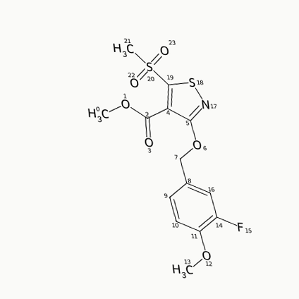 COC(=O)c1c(OCc2ccc(OC)c(F)c2)nsc1S(C)(=O)=O